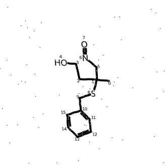 CC(CCO)(CN=O)SCc1ccccc1